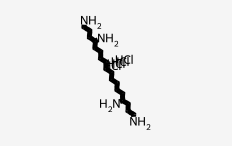 Cl.Cl.Cl.Cl.NCCCC(N)CCCCCCCCCCC(N)CCCN